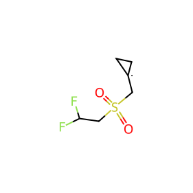 O=S(=O)(C[C]1CC1)CC(F)F